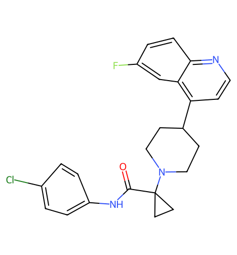 O=C(Nc1ccc(Cl)cc1)C1(N2CCC(c3ccnc4ccc(F)cc34)CC2)CC1